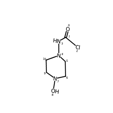 O=C(Cl)NN1CCN(O)CC1